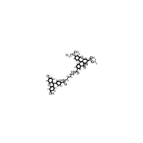 CN(C)c1ccc2c(-c3ccc(C(=O)NCCCCCNC(=O)c4ccc(-c5c6ccc(=O)cc-6oc6cc(O)ccc56)cc4)cc3C(=O)O)c3ccc(=[N+](C)C)cc-3oc2c1